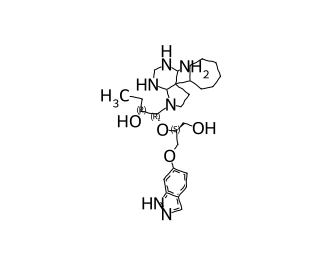 CC[C@@H](O)[C@@H](O[C@@H](CO)COc1ccc2cn[nH]c2c1)N1CCC2(C3CCCCCC3)C(N)NCNC12